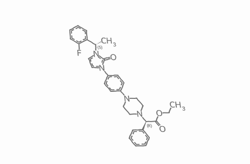 CCOC(=O)[C@@H](c1ccccc1)N1CCN(c2ccc(-n3ccn([C@@H](C)c4ccccc4F)c3=O)cc2)CC1